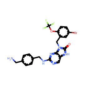 NCc1ccc(CNc2ncc3[nH]c(=O)n(Cc4cc(Br)ccc4OC(F)(F)F)c3n2)cc1